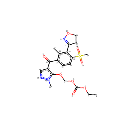 CCOC(=O)OCOc1c(C(=O)c2ccc(S(C)(=O)=O)c(C3=NOCC3)c2C)cnn1C